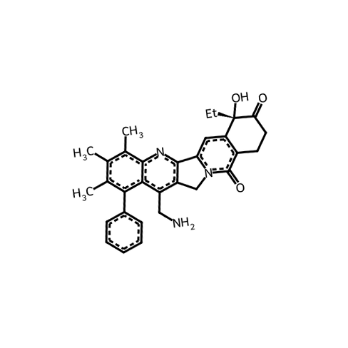 CC[C@@]1(O)C(=O)CCc2c1cc1n(c2=O)Cc2c-1nc1c(C)c(C)c(C)c(-c3ccccc3)c1c2CN